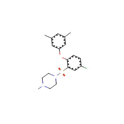 CCN1CCN(S(=O)(=O)c2cc(Cl)ccc2Oc2cc(C)cc(C)c2)CC1